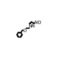 O=Nc1ccn(CCOCc2ccccc2)n1